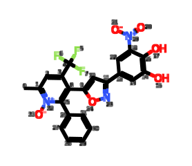 Cc1cc(C(F)(F)F)c(-c2cc(-c3cc(O)c(O)c([N+](=O)[O-])c3)no2)c(-c2ccccc2)[n+]1[O-]